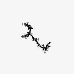 CCCOC1CC(n2cc(C#CCNC(=O)CCSSCCNC(=O)CCCCC[N+]3=C(/C=C/C=C4/N(CC)c5ccc(S(=O)(=O)O)cc5C4(C)C)C(C)(C)c4cc(S(=O)(=O)O)ccc43)c(=O)[nH]c2=O)OC1CC